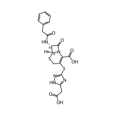 O=C(O)Cc1nc(SC2=C(C(=O)O)N3C(=O)[C@@H](NC(=O)Cc4ccccc4)[C@H]3SC2)n[nH]1